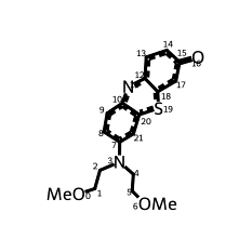 COCCN(CCOC)c1ccc2nc3ccc(=O)cc-3sc2c1